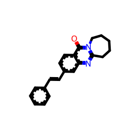 O=c1c2ccc(/C=C/c3ccccc3)cc2nc2n1CCCCC2